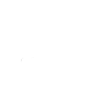 FC1(F)CCCCCC1Cc1ccccc1